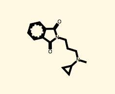 CN(CCCN1C(=O)c2ccccc2C1=O)C1CC1